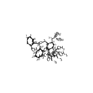 Cc1ccccc1P(Cc1cc([Si](C)(C)C)c([Si](C)(C)C)cc1CP(C(C)(C)C)C(C)(C)C)c1ccccc1C